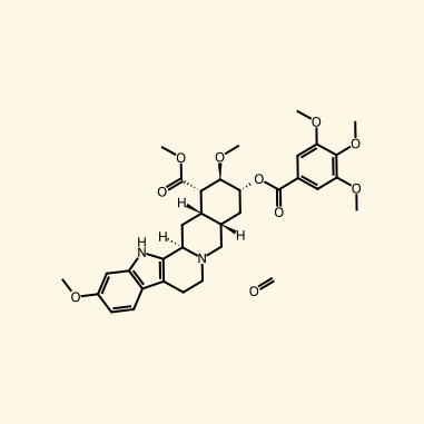 C=O.COC(=O)[C@H]1[C@H]2C[C@@H]3c4[nH]c5cc(OC)ccc5c4CCN3C[C@H]2C[C@@H](OC(=O)c2cc(OC)c(OC)c(OC)c2)[C@@H]1OC